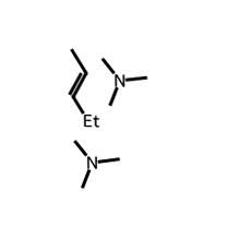 CC=CCC.CN(C)C.CN(C)C